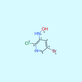 ONc1cc(Br)cnc1Cl